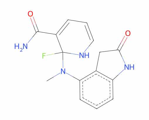 CN(c1cccc2c1CC(=O)N2)C1(F)NC=CC=C1C(N)=O